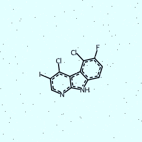 Fc1c[c]c2[nH]c3ncc(I)c(Cl)c3c2c1Cl